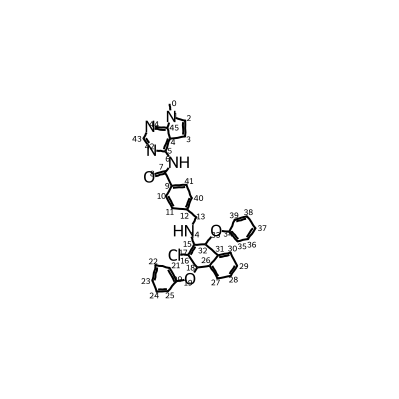 Cn1ccc2c(NC(=O)c3ccc(CNC4=C(Cl)C(Oc5ccccc5)c5ccccc5C4Oc4ccccc4)cc3)ncnc21